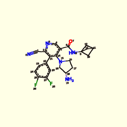 N#Cc1ncc(C(=O)NC23CC(C2)C3)c(N2CC[C@H](N)C2)c1-c1ccc(F)c(F)c1